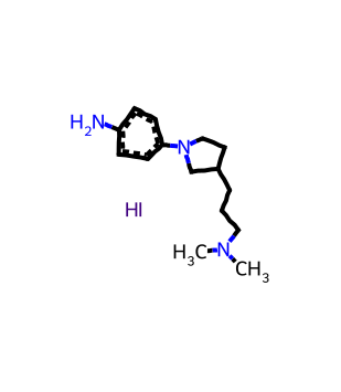 CN(C)CCCC1CCN(c2ccc(N)cc2)C1.I